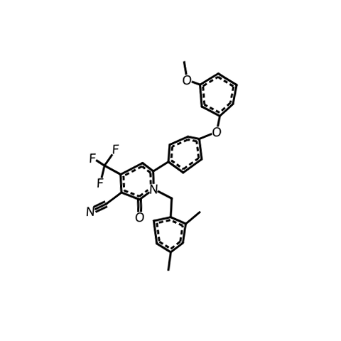 COc1cccc(Oc2ccc(-c3cc(C(F)(F)F)c(C#N)c(=O)n3Cc3ccc(C)cc3C)cc2)c1